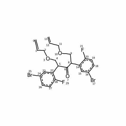 C=CCOCC(C(=O)C(COCC=C)c1cc(Br)ccc1F)c1cc(Br)ccc1F